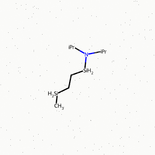 C[SiH2]CC[SiH2]N(C(C)C)C(C)C